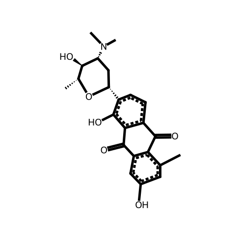 Cc1cc(O)cc2c1C(=O)c1ccc([C@H]3C[C@@H](N(C)C)[C@H](O)[C@@H](C)O3)c(O)c1C2=O